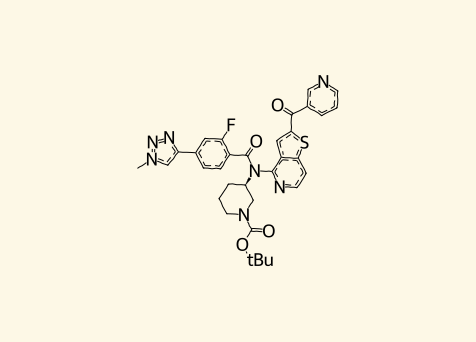 Cn1cc(-c2ccc(C(=O)N(c3nccc4sc(C(=O)c5cccnc5)cc34)[C@@H]3CCCN(C(=O)OC(C)(C)C)C3)c(F)c2)nn1